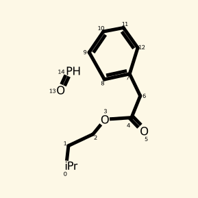 CC(C)CCOC(=O)Cc1ccccc1.O=P